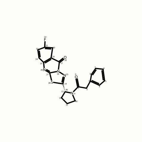 O=C(Cc1ccccc1)N1CCC[C@@H]1c1nn2c(=O)c3cc(F)ccc3nc2s1